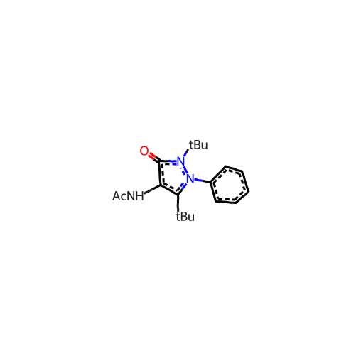 CC(=O)Nc1c(C(C)(C)C)n(-c2ccccc2)n(C(C)(C)C)c1=O